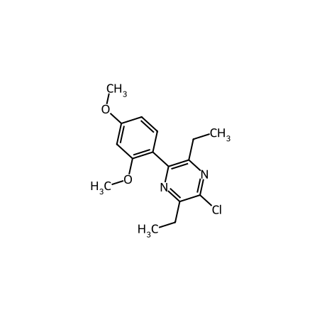 CCc1nc(-c2ccc(OC)cc2OC)c(CC)nc1Cl